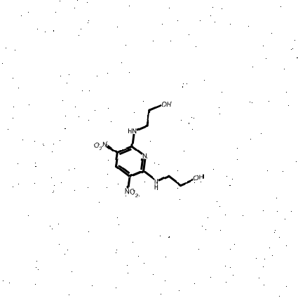 O=[N+]([O-])c1cc([N+](=O)[O-])c(NCCO)nc1NCCO